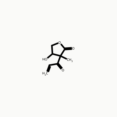 C=CC(=O)C1(C)C(=O)OCC1O